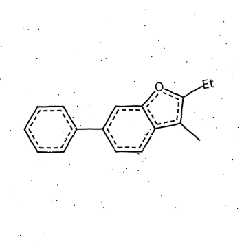 CCc1oc2cc(-c3ccccc3)ccc2c1C